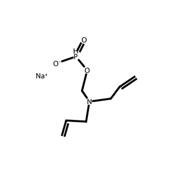 C=CCN(CC=C)CO[PH](=O)[O-].[Na+]